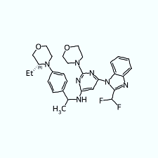 CC[C@@H]1COCCN1c1ccc(C(C)Nc2cc(-n3c(C(F)F)nc4ccccc43)nc(N3CCOCC3)n2)cc1